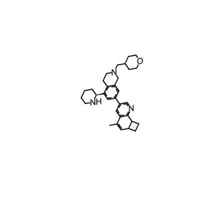 CC1=CC2CCC2c2ncc(-c3cc4c(c([C@@H]5CCCCN5)c3)CCN(CC3CCOCC3)C4)cc21